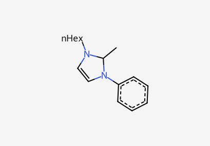 CCCCCCN1C=CN(c2ccccc2)C1C